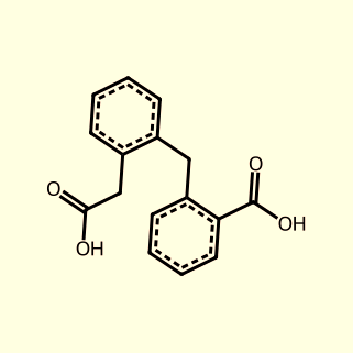 O=C(O)Cc1ccccc1Cc1ccccc1C(=O)O